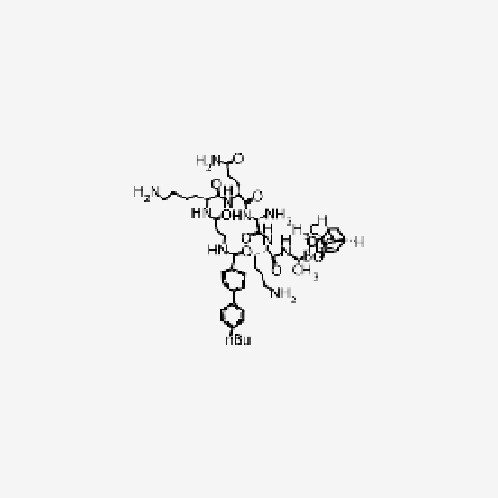 CCCCc1ccc(-c2ccc(C(=O)NCCC(=O)N[C@@H](CCCCN)C(=O)N[C@@H](CCC(N)=O)C(=O)N[C@@H](N)C(=O)N[C@@H](CCCCN)C(=O)N[C@@H](C)B3OC4C[C@@H]5C[C@@H](C5(C)C)[C@]4(C)O3)cc2)cc1